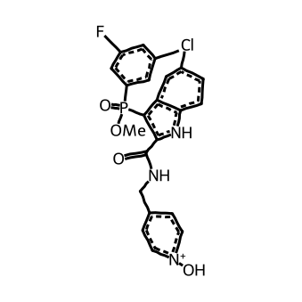 COP(=O)(c1cc(C)cc(F)c1)c1c(C(=O)NCc2cc[n+](O)cc2)[nH]c2ccc(Cl)cc12